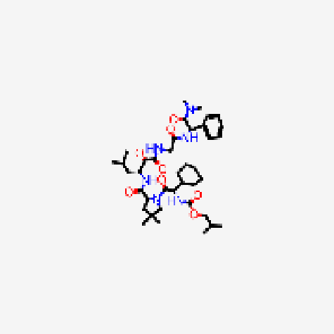 CC(C)COC(=O)N[C@H](C(=O)N1CC(C)(C)CC1C(=O)N[C@@H](CC(C)C)C(=O)C(=O)NCC(=O)N[C@H](C(=O)N(C)C)c1ccccc1)C1CCCCC1